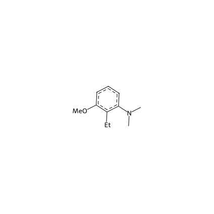 CCc1c(OC)cccc1N(C)C